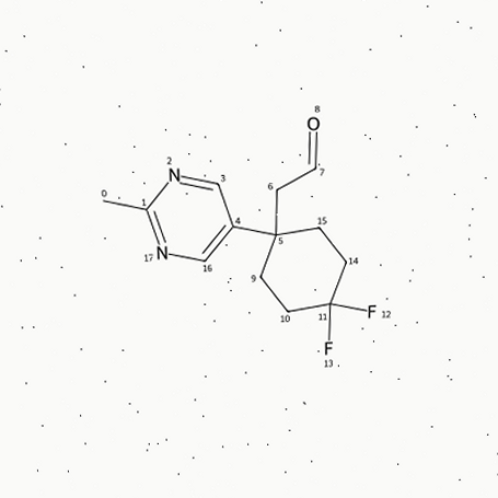 Cc1ncc(C2(CC=O)CCC(F)(F)CC2)cn1